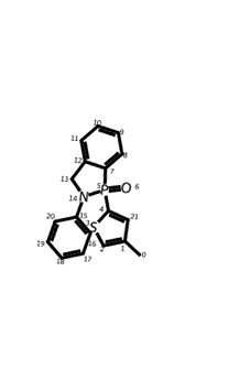 Cc1csc(P2(=O)c3ccccc3CN2c2ccccc2)c1